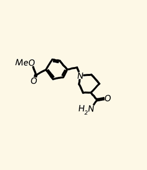 COC(=O)c1ccc(CN2CCC(C(N)=O)CC2)cc1